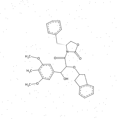 COc1cc(C(O)C(OC2Cc3ccccc3C2)C(=O)N2C(=O)OC[C@H]2Cc2ccccc2)cc(OC)c1C